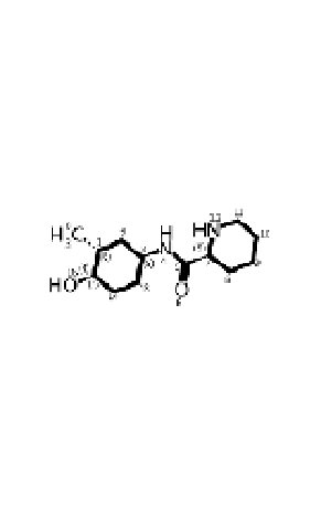 C[C@@H]1C[C@@H](NC(=O)[C@@H]2CCCCN2)CC[C@H]1O